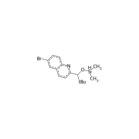 C[SiH](C)OC(c1ccc2cc(Br)ccc2n1)C(C)(C)C